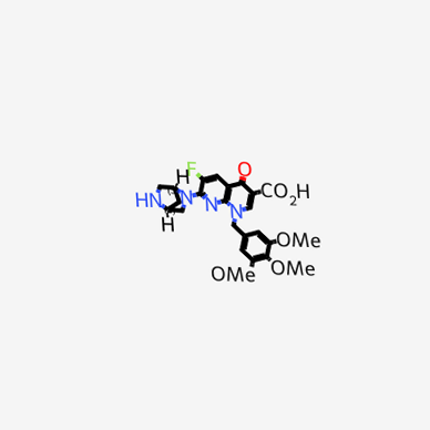 COc1cc(Cn2cc(C(=O)O)c(=O)c3cc(F)c(N4C[C@@H]5C[C@H]4CN5)nc32)cc(OC)c1OC